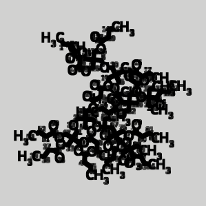 CCCC(=O)OCC(COCC(COC(=O)CCC)(COC(=O)CC(=O)OCC(COCC(COC(=O)CCC)(COC(=O)CCC)COC(=O)CCC)(COC(=O)CCC)COC(C)(CC)CC(COC(=O)CCC)(COC(=O)CCC)COC(CC)(CC)C(=O)CCC)COC(C)(C)CC(COC(=O)CCC)(COC(=O)CCC)COC(CC)(CC)C(=O)CCC)(COC(=O)CCC)COC(=O)CCC